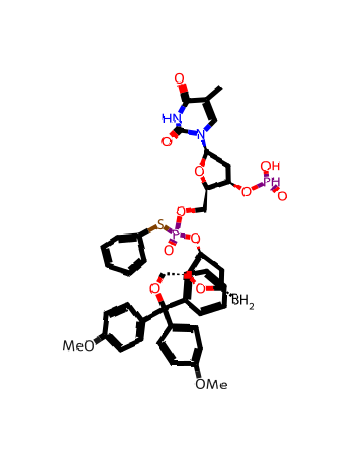 B[C@H]1C[C@@H](OP(=O)(OC[C@H]2O[C@@H](n3cc(C)c(=O)[nH]c3=O)C[C@H]2O[PH](=O)O)Sc2ccccc2)[C@@H](COC(c2ccccc2)(c2ccc(OC)cc2)c2ccc(OC)cc2)O1